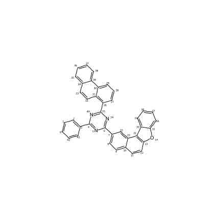 c1ccc(-c2nc(-c3ccc4ccc5oc6ccccc6c5c4c3)nc(-c3cccc4c3ccc3ccccc34)n2)cc1